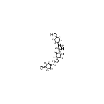 Oc1ccc(-n2cnc(-c3ccc(OCCc4ccc(Cl)cc4)cc3)c2)cc1